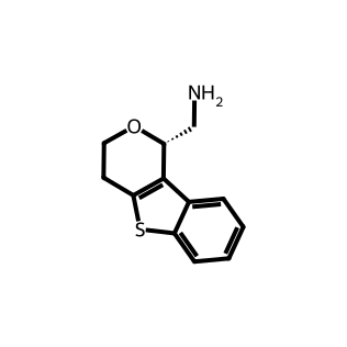 NC[C@H]1OCCc2sc3ccccc3c21